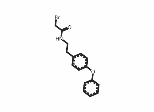 O=C(CBr)NCCc1ccc(Oc2ccccc2)cc1